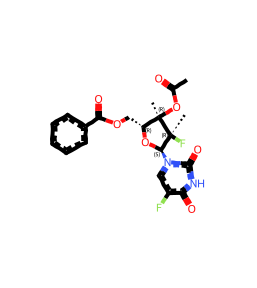 CC(=O)O[C@]1(C)[C@@H](COC(=O)c2ccccc2)O[C@H](n2cc(F)c(=O)[nH]c2=O)[C@]1(C)F